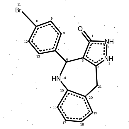 O=c1[nH][nH]c2c1C(c1ccc(Br)cc1)Nc1ccccc1C2